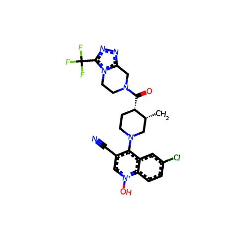 C[C@@H]1CN(c2c(C#N)c[n+](O)c3ccc(Cl)cc23)CC[C@@H]1C(=O)N1CCn2c(nnc2C(F)(F)F)C1